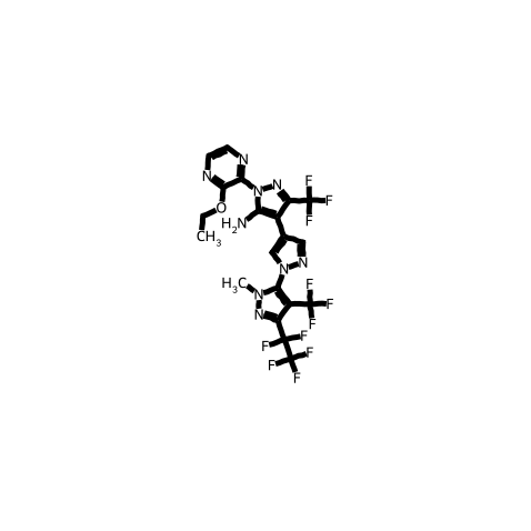 CCOc1nccnc1-n1nc(C(F)(F)F)c(-c2cnn(-c3c(C(F)(F)F)c(C(F)(F)C(F)(F)F)nn3C)c2)c1N